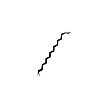 [CH2]/C=C/CCCCCCCCCCCCCCCCCCCC